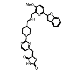 COc1ccc(-c2cc3ccccc3o2)nc1CNCC1CCN(c2nccc(C=C3SC(=O)NC3=O)n2)CC1